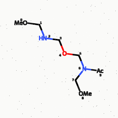 COCNCOCN(COC)C(C)=O